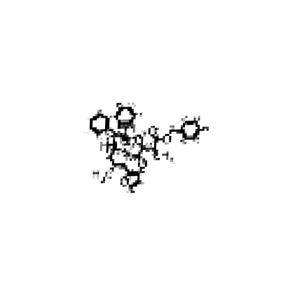 C[C@H](CCO[Si](c1ccccc1)(c1ccccc1)C(C)(C)C)[C@@H](c1ccco1)N(C)C(=O)[C@@H](C)N(C)C(=O)OCc1ccccc1